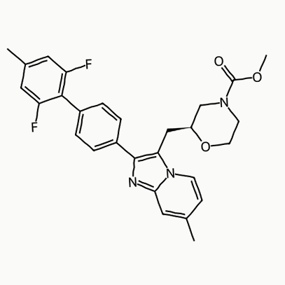 COC(=O)N1CCO[C@@H](Cc2c(-c3ccc(-c4c(F)cc(C)cc4F)cc3)nc3cc(C)ccn23)C1